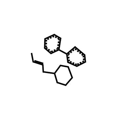 CC=CCC1CCCCC1.c1ccc(-c2ccccc2)cc1